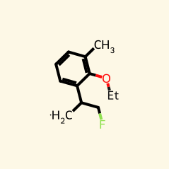 [CH2]C(CF)c1cccc(C)c1OCC